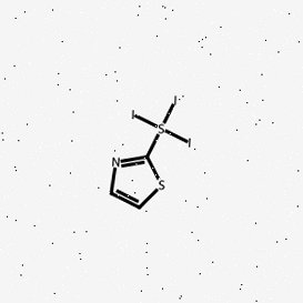 IS(I)(I)c1nccs1